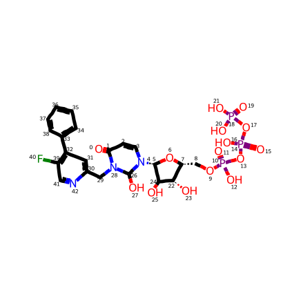 O=C1C=CN([C@@H]2O[C@H](COP(=O)(O)OP(=O)(O)OP(=O)(O)O)[C@H](O)C2O)C(O)N1Cc1cc(-c2ccccc2)c(F)cn1